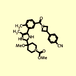 COC(=O)N1CCC(OC)(C2NC(C)=C(c3cc(C(=O)N4CC(c5ccc(C#N)cc5)C4)ccc3C)N2)CC1